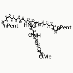 CCCCC/C=C\C/C=C\CCCCCCCCC(CCCCCCCC/C=C\C/C=C\CCCCC)NC(=O)CCC(=O)NCCOCCOCCOC